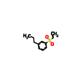 C=CS(=O)(=O)c1cccc(CCC)c1